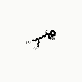 CCCCC(CCCC)CCCCC(=O)c1c[nH]c2ccccc12